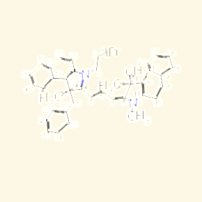 CC(C)CC[N+]1=C(/C=C/C=C2/N(C)c3ccc4ccccc4c3C2(C)C)C(C)(Cc2ccccc2)c2c1ccc1ccccc21